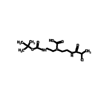 CC(Cl)C(=O)NCCN(CCNC(=O)OC(C)(C)C)C(=O)O